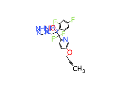 CC#CCOc1ccc(C(F)(F)C(O)(CN(N)/C=N\N)c2ccc(F)cc2F)nc1